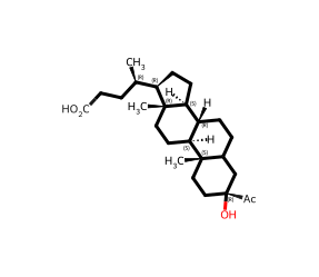 CC(=O)[C@@]1(O)CC[C@@]2(C)C(CC[C@H]3[C@@H]4CC[C@H]([C@H](C)CCC(=O)O)[C@@]4(C)CC[C@@H]32)C1